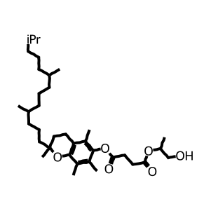 Cc1c(C)c2c(c(C)c1OC(=O)CCC(=O)OC(C)CO)CCC(C)(CCCC(C)CCCC(C)CCCC(C)C)O2